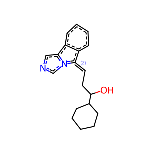 OC(C/C=c1/c2ccccc2c2cncn12)C1CCCCC1